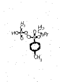 CCCC.Cc1ccc(S(=O)(=O)OOP(C)(=O)O)cc1